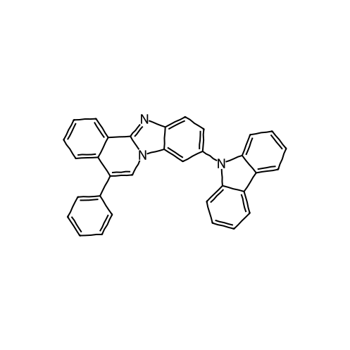 c1ccc(-c2cn3c4cc(-n5c6ccccc6c6ccccc65)ccc4nc3c3ccccc23)cc1